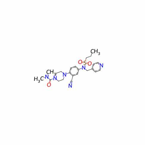 CCCS(=O)(=O)N(Cc1ccncc1)c1ccc(N2CCN(C(=O)N(C)C)CC2)c(C#N)c1